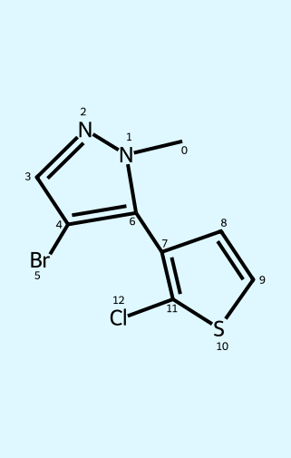 Cn1ncc(Br)c1-c1ccsc1Cl